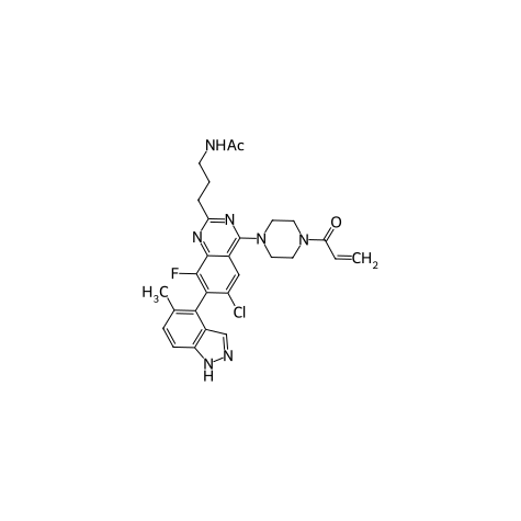 C=CC(=O)N1CCN(c2nc(CCCNC(C)=O)nc3c(F)c(-c4c(C)ccc5[nH]ncc45)c(Cl)cc23)CC1